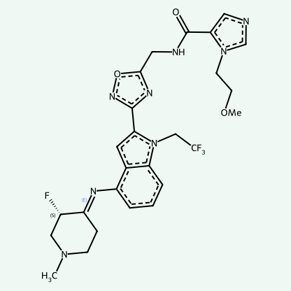 COCCn1cncc1C(=O)NCc1nc(-c2cc3c(/N=C4\CCN(C)C[C@@H]4F)cccc3n2CC(F)(F)F)no1